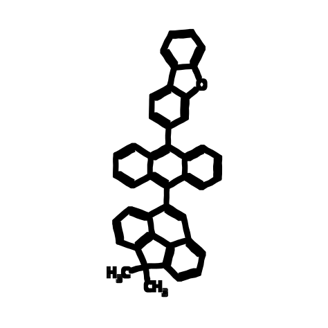 CC1(C)c2cccc3cc(-c4c5ccccc5c(-c5ccc6c(c5)oc5ccccc56)c5ccccc45)c4cccc1c4c23